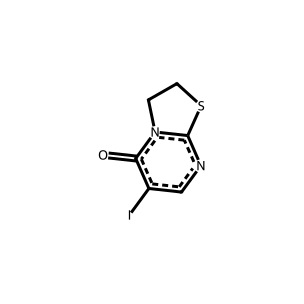 O=c1c(I)cnc2n1CCS2